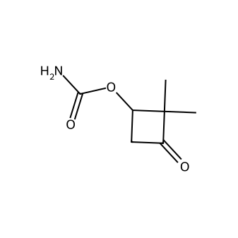 CC1(C)C(=O)CC1OC(N)=O